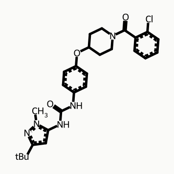 Cn1nc(C(C)(C)C)cc1NC(=O)Nc1ccc(OC2CCN(C(=O)c3ccccc3Cl)CC2)cc1